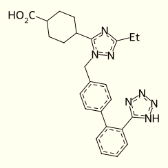 CCc1nc(C2CCC(C(=O)O)CC2)n(Cc2ccc(-c3ccccc3-c3nnn[nH]3)cc2)n1